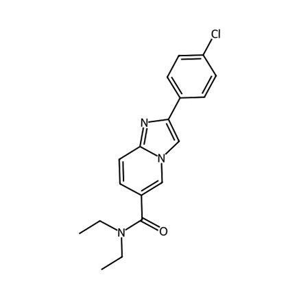 CCN(CC)C(=O)c1ccc2nc(-c3ccc(Cl)cc3)cn2c1